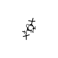 CN(c1nnc(C(C)(C)C)o1)C(C)(C)C